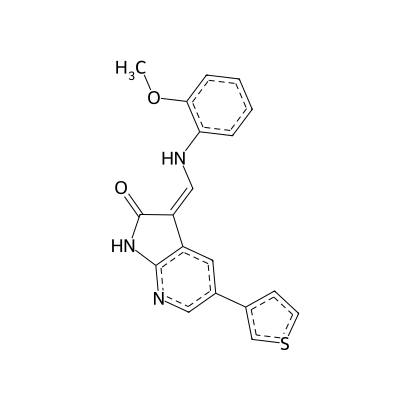 COc1ccccc1NC=C1C(=O)Nc2ncc(-c3ccsc3)cc21